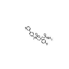 C[C@@H](c1ccc(-c2cccnc2)cc1)N1CC[C@@](CCC(N)=O)(c2ccc(F)cc2)OC1=O